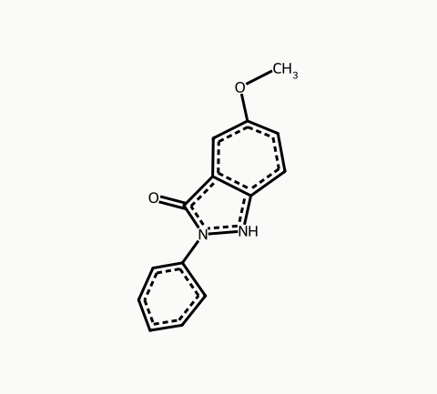 COc1ccc2[nH]n(-c3ccccc3)c(=O)c2c1